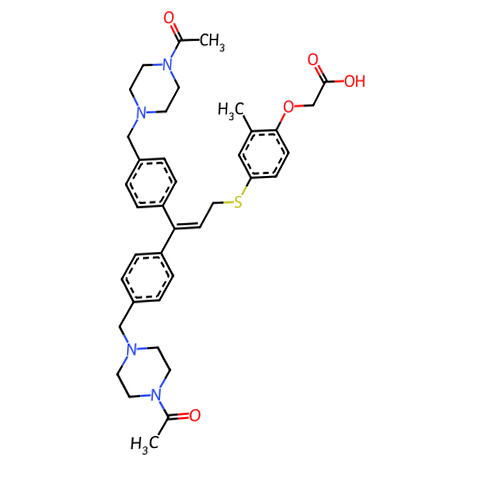 CC(=O)N1CCN(Cc2ccc(C(=CCSc3ccc(OCC(=O)O)c(C)c3)c3ccc(CN4CCN(C(C)=O)CC4)cc3)cc2)CC1